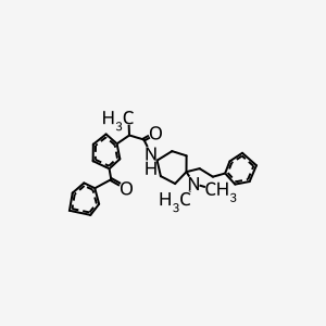 CC(C(=O)NC1CCC(CCc2ccccc2)(N(C)C)CC1)c1cccc(C(=O)c2ccccc2)c1